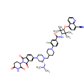 CN(C)C[C@@H]1CN(c2ccc3c(c2)C(=O)N(C2CCC(=O)NC2=O)C3=O)CCN1CC1CCN(c2ccc(C(=O)N[C@H]3C(C)(C)[C@H](Oc4ccc(C#N)c5ncccc45)C3(C)C)cc2F)CC1